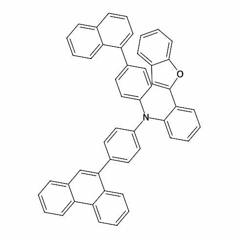 c1ccc(N(c2ccc(-c3cccc4ccccc34)cc2)c2ccc(-c3cc4ccccc4c4ccccc34)cc2)c(-c2cc3ccccc3o2)c1